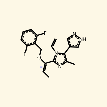 C=Cn1c(/C(=C\C)OCc2c(F)cccc2F)nc(C)c1-c1cn[nH]c1